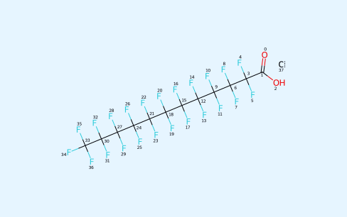 O=C(O)C(F)(F)C(F)(F)C(F)(F)C(F)(F)C(F)(F)C(F)(F)C(F)(F)C(F)(F)C(F)(F)C(F)(F)C(F)(F)F.[C]